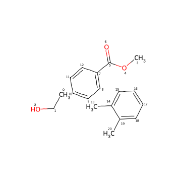 CCO.COC(=O)c1ccccc1.Cc1ccccc1C